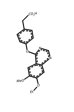 CCOc1cc2ncnc(Oc3ccc(CC(=O)O)cc3)c2cc1OC